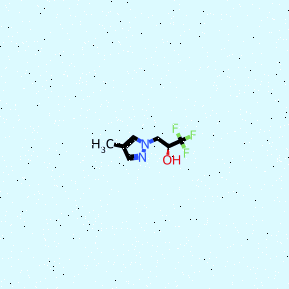 Cc1cnn(C[C@H](O)C(F)(F)F)c1